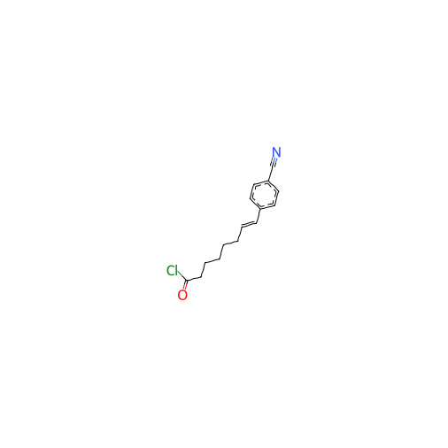 N#Cc1ccc(C=CCCCCCC(=O)Cl)cc1